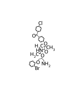 C=C(NC(=O)C(C)(C)Oc1ccc(C(=O)c2ccc(Cl)cc2)cc1)OC(CN)COc1ccccc1Br